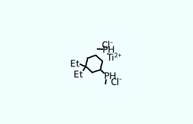 CCC1(CC)CCCC(PC)C1.C[PH][Ti+2].[Cl-].[Cl-]